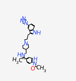 CC(=O)Nc1ccc([C@@H](C)NCC2CCN(CCCc3c[nH]c4ccc(-n5cnnc5)cc34)CC2)cc1